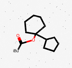 CCC(C)C(=O)OC1(C2CCCC2)CCCCC1